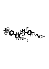 CC(C)S(=O)(=O)c1ccc(-c2cnc(N)c(-c3nnc(-c4ccc(CNCCO)cc4F)o3)n2)cc1